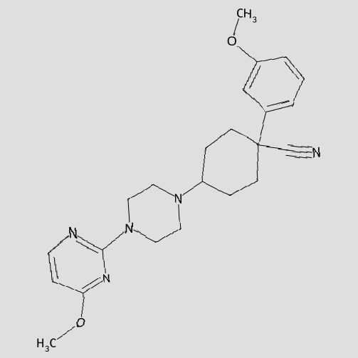 COc1cccc(C2(C#N)CCC(N3CCN(c4nccc(OC)n4)CC3)CC2)c1